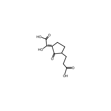 O=C(O)CCC1CCC(=C(O)C(=O)O)C1=O